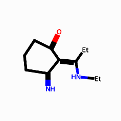 CCN/C(CC)=C1\C(=N)CCCC1=O